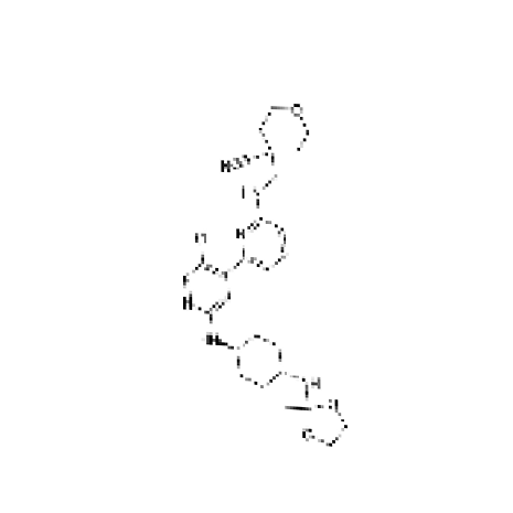 CC1(N[C@H]2CC[C@H](Nc3cc(-c4cccc(NCC5(C#N)CCOCC5)n4)c(Cl)cn3)CC2)OCCO1